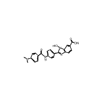 CN(C)c1ccc(C(=O)Nc2ccc(-c3nc4ccc(C(=O)O)cc4n3O)cc2)cc1